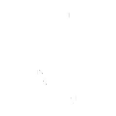 CCOC(=O)c1cc(-c2ccc(O)cc2)[nH]n1